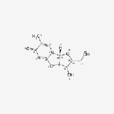 Cc1cn2c(nc1=O)OC1C(O)[C@@H](CO)O[C@H]12